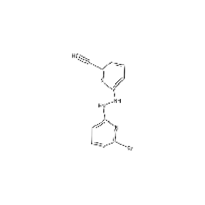 C#Cc1cccc(NNc2cccc(Br)n2)n1